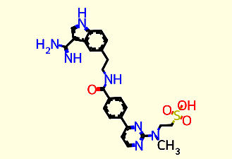 CN(CCS(=O)(=O)O)c1nccc(-c2ccc(C(=O)NCCc3ccc4[nH]cc(C(=N)N)c4c3)cc2)n1